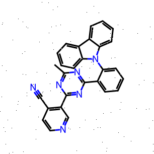 Cc1nc(-c2cnccc2C#N)nc(-c2ccccc2-n2c3ccccc3c3ccccc32)n1